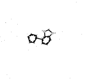 [c]1ccc2c(c1-c1ccccc1)OCO2